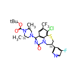 C[C@@H]1CN(c2nc(=O)n3c4c(c(Cl)c(C(F)(F)F)cc24)SC[C@@H](c2cncc(F)c2)C3)C[C@H](C)N1C(=O)OC(C)(C)C